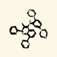 Cc1c(-c2ccccn2)nc2c(-c3ccccn3)cccc2c1Nc1cc(N2CCOCC2)ccc1N1CCOCC1